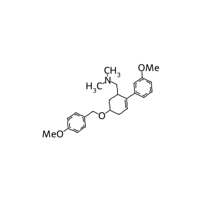 COc1ccc(COC2CC=C(c3cccc(OC)c3)C(CN(C)C)C2)cc1